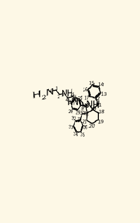 NCCNCCNCCNC1(Cc2ccccc2)CCCCC1(Cc1ccccc1)Cc1ccccc1